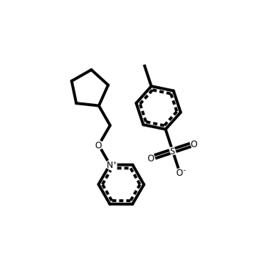 Cc1ccc(S(=O)(=O)[O-])cc1.c1cc[n+](OCC2CCCC2)cc1